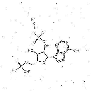 O=P(O)(O)OC[C@H]1O[C@@H](n2cnc3c(O)ncnc32)[C@H](O)[C@@H]1O.O=P([O-])([O-])[O-].[K+].[K+].[K+]